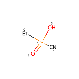 CCP(=O)(O)C#N